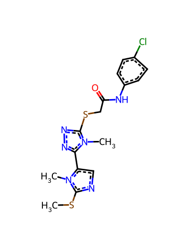 CSc1ncc(-c2nnc(SCC(=O)Nc3ccc(Cl)cc3)n2C)n1C